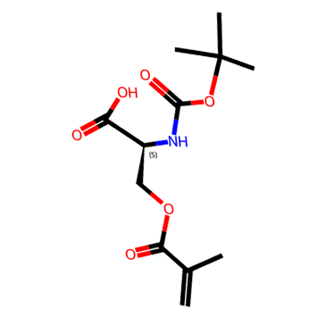 C=C(C)C(=O)OC[C@H](NC(=O)OC(C)(C)C)C(=O)O